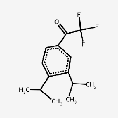 CC(C)c1ccc(C(=O)C(F)(F)F)cc1C(C)C